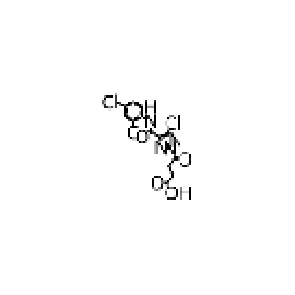 O=C(O)CCC(=O)n1nc(Cl)c(C(=O)Nc2ccc(Cl)cc2Cl)n1